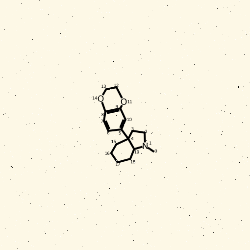 CN1CCC2(c3ccc4c(c3)OCCO4)CCCCC12